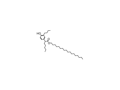 CCCCCCCCCCCCCCCCCCOC(=O)C(CCCCC)c1ccc(O)c(CCCC)c1